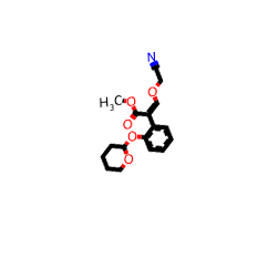 COC(=O)C(=COCC#N)c1ccccc1OC1CCCCO1